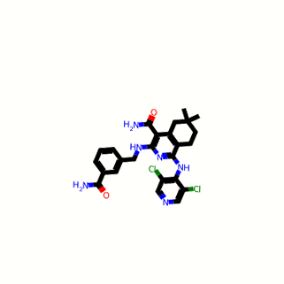 CC1(C)CCc2c(Nc3c(Cl)cncc3Cl)nc(NCc3cccc(C(N)=O)c3)c(C(N)=O)c2C1